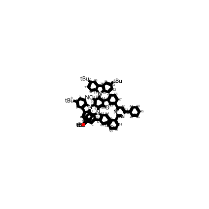 CC(C)(C)c1ccc2c(c1)c1cc(C(C)(C)C)ccc1n2-c1c(C#N)c(-n2c3ccc(C(C)(C)C)cc3c3cc(C(C)(C)C)ccc32)c2c(oc3c(-c4cc(-c5ccccc5)nc(-c5ccccc5)n4)cccc32)c1-n1c2ccc(C(C)(C)C)cc2c2cc(C(C)(C)C)ccc21